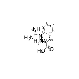 N=C(N)Nc1ccccc1C[C@H](N)C(=O)O